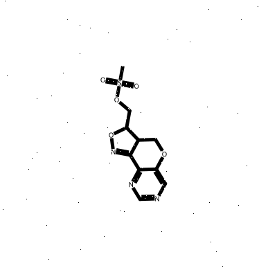 CS(=O)(=O)OCC1ON=C2c3ncncc3OCC21